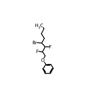 CCCCC(Br)C(F)C(F)COc1ccccc1